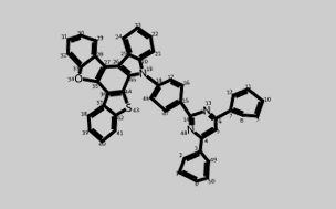 c1ccc(-c2cc(-c3ccccc3)nc(-c3ccc(-n4c5ccccc5c5c6c7ccccc7oc6c6c7ccccc7sc6c54)cc3)n2)cc1